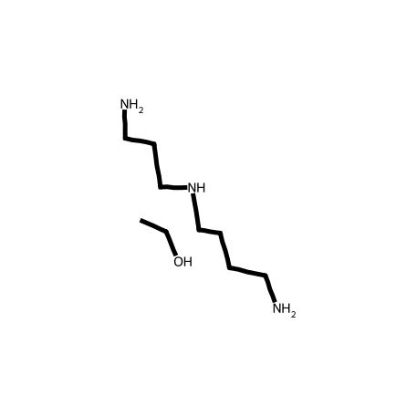 CCO.NCCCCNCCCN